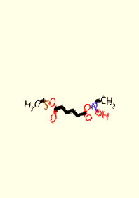 CCSOC(=O)CCCCC(=O)ON(O)CC